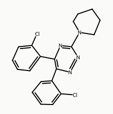 Clc1ccccc1-c1nnc(N2CCCCC2)nc1-c1ccccc1Cl